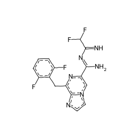 N=C(/N=C(\N)c1cn2ccnc2c(Cc2c(F)cccc2F)n1)C(F)F